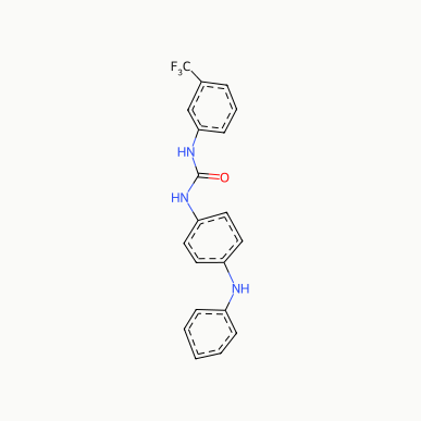 O=C(Nc1ccc(Nc2ccccc2)cc1)Nc1cccc(C(F)(F)F)c1